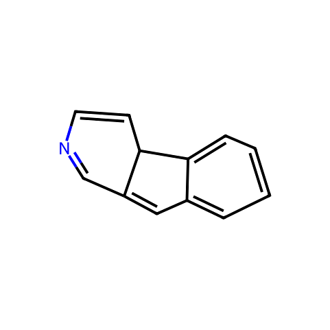 C1=CC2C(=Cc3ccccc32)C=N1